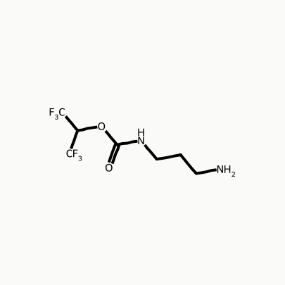 NCCCNC(=O)OC(C(F)(F)F)C(F)(F)F